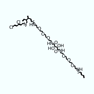 C=C/C=C/SNCCOCCOCCOCCNC(=O)C(O)C(O)C(=O)NCCOCCOCCOCCNS/C=C/C(=C)C(C=C)CN(C)C/C=C(Cl)/C=C/Cl